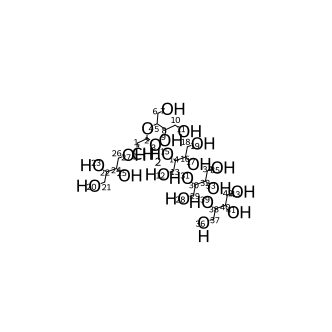 C=CC(=O)OC(CO)C(O)CO.OCC(O)C(O)CO.OCC(O)C(O)CO.OCC(O)C(O)CO.OCC(O)C(O)CO